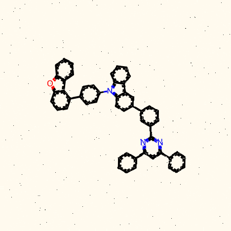 c1ccc(-c2cc(-c3ccccc3)nc(-c3cccc(-c4ccc5c(c4)c4ccccc4n5-c4ccc(-c5cccc6oc7ccccc7c56)cc4)c3)n2)cc1